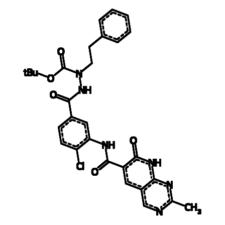 Cc1ncc2cc(C(=O)Nc3cc(C(=O)NN(CCc4ccccc4)C(=O)OC(C)(C)C)ccc3Cl)c(=O)[nH]c2n1